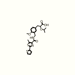 COc1ccc(CC(OC(C)C)C(=O)O)cc1CNC(=O)c1nc(-c2cccs2)sc1C